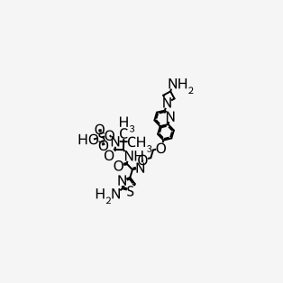 CC1(C)C(NC(=O)/C(=N\OCCOc2ccc3nc(N4CC(N)C4)ccc3c2)c2csc(N)n2)C(=O)N1OS(=O)(=O)O